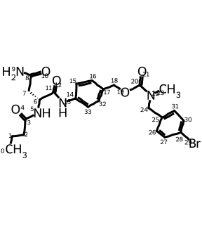 CCCC(=O)N[C@H](CC(N)=O)C(=O)Nc1ccc(COC(=O)N(C)Cc2ccc(Br)cc2)cc1